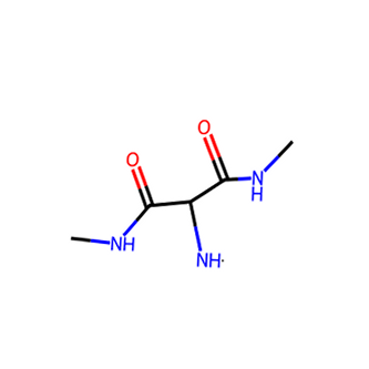 CNC(=O)C([NH])C(=O)NC